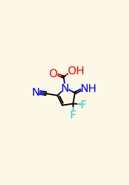 N#CC1=CC(F)(F)C(=N)N1C(=O)O